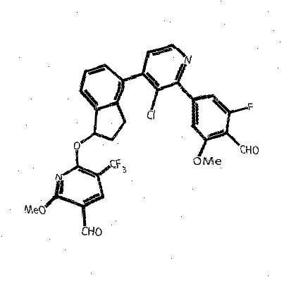 COc1cc(-c2nccc(-c3cccc4c3CCC4Oc3nc(OC)c(C=O)cc3C(F)(F)F)c2Cl)cc(F)c1C=O